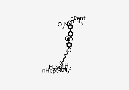 CCCCCCC[SiH](C)[SiH2][SiH2]OCCCCCCOc1ccc(C(=O)Oc2ccc(-c3ccc(O[C@H](C)CCCCC)c([N+](=O)[O-])c3)cc2)cc1